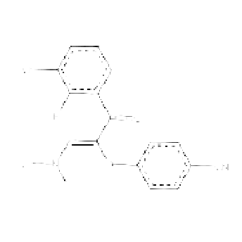 CN(C)/C=C(\Oc1ccc(C#N)cc1)C(=O)c1cccc(Cl)c1F